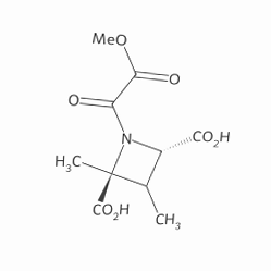 COC(=O)C(=O)N1[C@H](C(=O)O)C(C)[C@@]1(C)C(=O)O